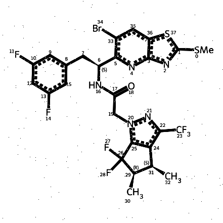 CSc1nc2nc([C@H](Cc3cc(F)cc(F)c3)NC(=O)Cn3nc(C(F)(F)F)c4c3C(F)(F)[C@H](C)[C@@H]4C)c(Br)cc2s1